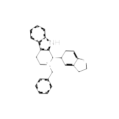 C1=C2CCOC2=CCC1[C@@H]1c2[nH]c3ccccc3c2CCN1Cc1ccccc1